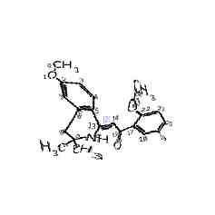 COc1ccc2c(c1)CC(C)(C)N/C2=C\C(=O)c1ccccc1OC